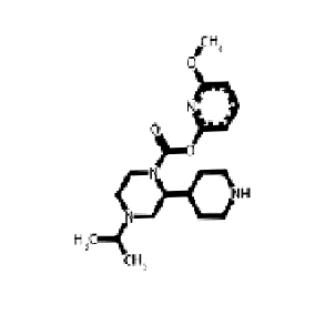 COc1cccc(OC(=O)N2CCN(C(C)C)CC2C2CCNCC2)n1